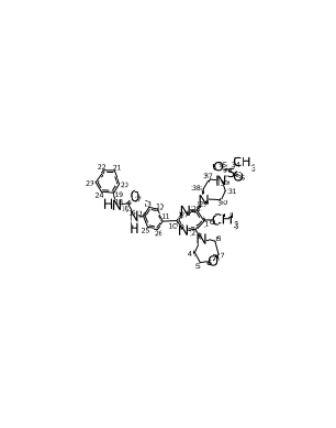 Cc1c(N2CCOCC2)nc(-c2ccc(NC(=O)Nc3ccccc3)cc2)nc1N1CCN(S(C)(=O)=O)CC1